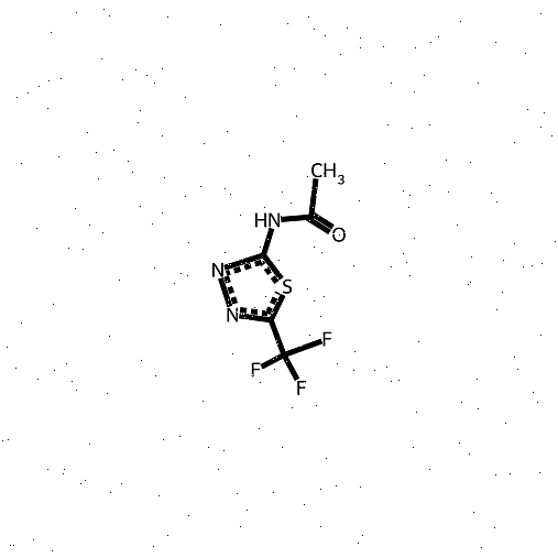 CC(=O)Nc1nnc(C(F)(F)F)s1